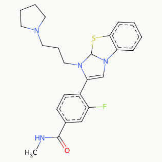 CNC(=O)c1ccc(C2=CN3c4ccccc4SC3N2CCCN2CCCC2)c(F)c1